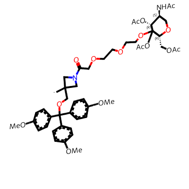 [CH2]C1(COC(c2ccc(OC)cc2)(c2ccc(OC)cc2)c2ccc(OC)cc2)CN(C(=O)COCCOCCOC2(OC(C)=O)[C@H](OC(C)=O)[C@@H](NC(C)=O)CO[C@@H]2COC(C)=O)C1